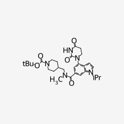 CC(C)n1ccc2c(N3CCC(=O)NC3=O)cc(C(=O)N(C)CC3CCN(C(=O)OC(C)(C)C)CC3)cc21